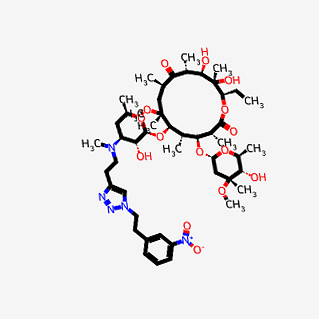 CC[C@H]1OC(=O)[C@H](C)[C@@H](O[C@H]2C[C@@](C)(OC)[C@@H](O)[C@H](C)O2)[C@H](C)[C@@H](O[C@@H]2O[C@H](C)C[C@H](N(C)CCc3cn(CCc4cccc([N+](=O)[O-])c4)nn3)[C@H]2O)[C@](C)(OC)C[C@@H](C)C(=O)[C@H](C)[C@@H](O)[C@]1(C)O